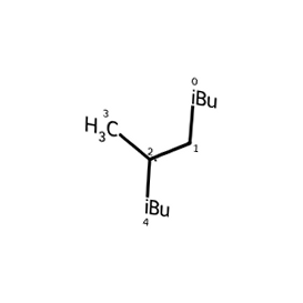 CCC(C)C[C](C)C(C)CC